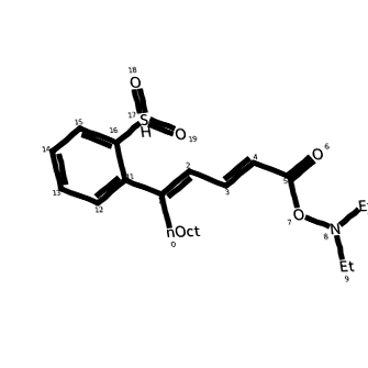 CCCCCCCCC(=CC=CC(=O)ON(CC)CC)c1ccccc1[SH](=O)=O